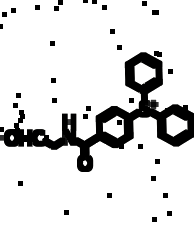 O=[C]CNC(=O)c1ccc([S+](c2ccccc2)c2ccccc2)cc1